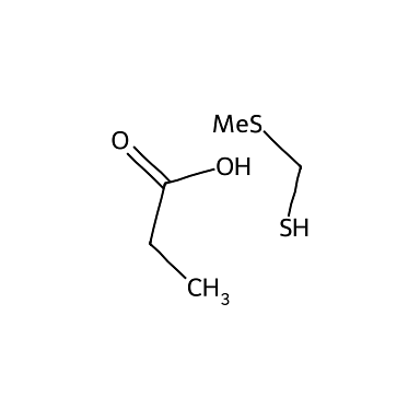 CCC(=O)O.CSCS